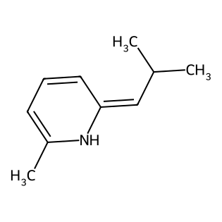 CC1=CC=C/C(=C\C(C)C)N1